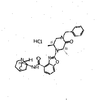 C[C@H]1CN(Cc2ccccc2)C(=O)[C@H](C)N1c1nc2c(C(=O)N[C@@H]3CC4CCN3CC4)cccc2o1.Cl